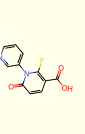 O=C(O)c1ccc(=O)n(-c2cccnc2)c1F